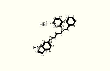 Br.c1ccc(CN(CCCOc2ccc3cc[nH]c3c2)c2ccccn2)cc1